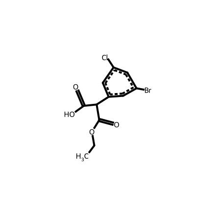 CCOC(=O)C(C(=O)O)c1cc(Cl)cc(Br)c1